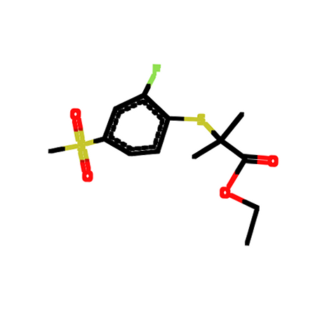 CCOC(=O)C(C)(C)Sc1ccc(S(C)(=O)=O)cc1F